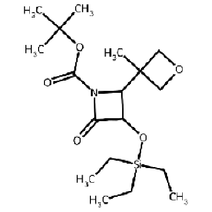 CC[Si](CC)(CC)OC1C(=O)N(C(=O)OC(C)(C)C)C1C1(C)COC1